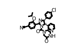 CC(C)Oc1cc(C#N)ccc1C1=N[C@@H](c2ccc(Cl)cc2)[C@@H](c2cccnc2)N1C(=O)N1CCNC(=O)C1